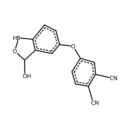 N#Cc1ccc(Oc2ccc3c(c2)C(O)OB3)cc1C#N